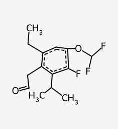 CCc1cc(OC(F)F)c(F)c(C(C)C)c1CC=O